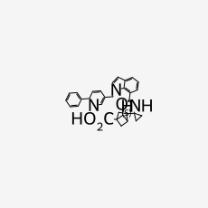 O=C(NC1([C@H]2CC3(C(=O)O)CC2C3)CC1)c1cccc2ccn(Cc3ccc(-c4ccccc4)nc3)c12